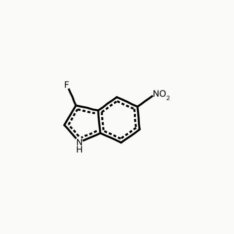 O=[N+]([O-])c1ccc2[nH]cc(F)c2c1